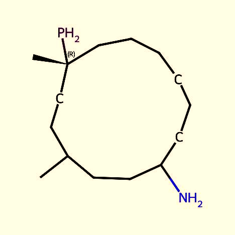 CC1CCC(N)CCCCCC[C@@](C)(P)CC1